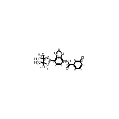 CC1(C)OB(c2ccc(NC(=O)c3cccc(Cl)c3)c3c2OCO3)OC1(C)C